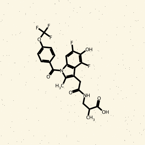 Cc1c(CC(=O)NCC(C)C(=O)O)c2c(F)c(O)c(F)cc2n1C(=O)c1ccc(OC(F)(F)F)cc1